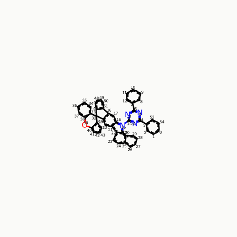 c1ccc(-c2nc(-c3ccccc3)nc(-n3c4cc5c(cc4c4ccc6ccccc6c43)C3(c4ccccc4Oc4ccccc43)c3ccccc3-5)n2)cc1